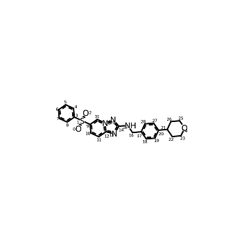 O=S(=O)(c1ccccc1)c1ccc2nc(NCc3ccc(C4CCOCC4)cc3)nn2c1